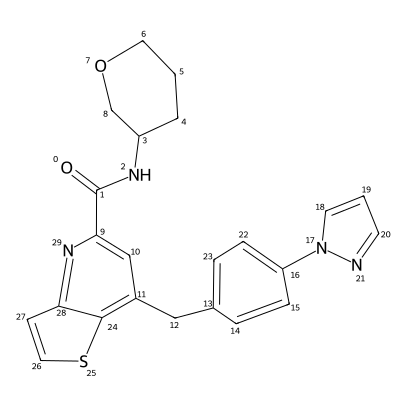 O=C(NC1CCCOC1)c1cc(Cc2ccc(-n3cccn3)cc2)c2sccc2n1